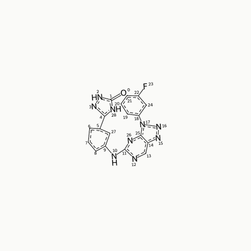 O=c1[nH]nc(-c2cccc(Nc3ncc4nnn(-c5cccc(F)c5)c4n3)c2)[nH]1